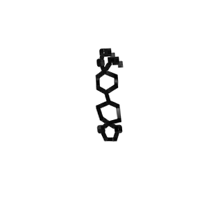 COC1(P)CCC(C2CCC3(CC2)OCCO3)CC1